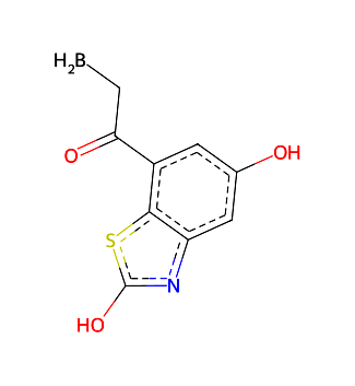 BCC(=O)c1cc(O)cc2nc(O)sc12